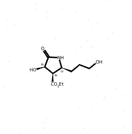 CCOC(=O)[C@@H]1[C@H](CCCO)NC(=O)[C@@H]1O